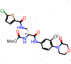 COC(=O)N[C@H](CNC(=O)c1ccc(Cl)s1)C(=O)Nc1ccc(N2CCOCC2=O)c(C(F)(F)F)c1